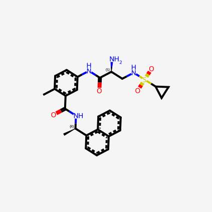 Cc1ccc(NC(=O)[C@@H](N)CNS(=O)(=O)C2CC2)cc1C(=O)N[C@H](C)c1cccc2ccccc12